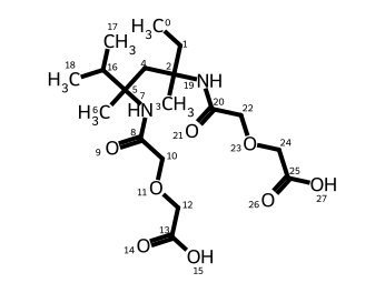 CCC(C)(CC(C)(NC(=O)COCC(=O)O)C(C)C)NC(=O)COCC(=O)O